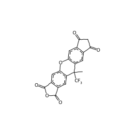 CC1(C(F)(F)F)c2cc3c(cc2Oc2cc4c(cc21)C(=O)OC4=O)C(=O)CC3=O